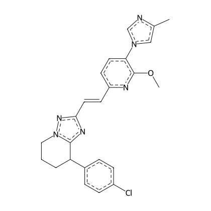 COc1nc(C=Cc2nc3n(n2)CCCC3c2ccc(Cl)cc2)ccc1-n1cnc(C)c1